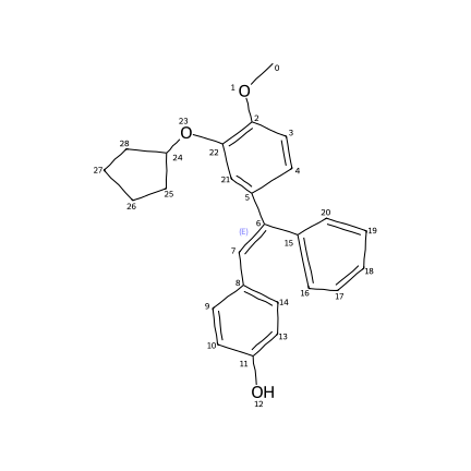 COc1ccc(/C(=C/c2ccc(O)cc2)c2ccccc2)cc1OC1CCCC1